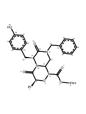 CCCCCCOC(=O)N1O[C@@H](C(C)C)C(=O)N2C1CN(Cc1ccccc1)C(=O)[C@@H]2Cc1ccc(O)cc1